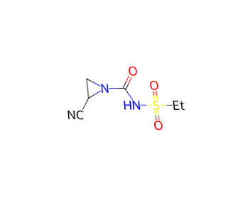 CCS(=O)(=O)NC(=O)N1CC1C#N